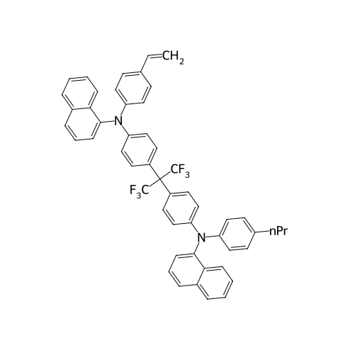 C=Cc1ccc(N(c2ccc(C(c3ccc(N(c4ccc(CCC)cc4)c4cccc5ccccc45)cc3)(C(F)(F)F)C(F)(F)F)cc2)c2cccc3ccccc23)cc1